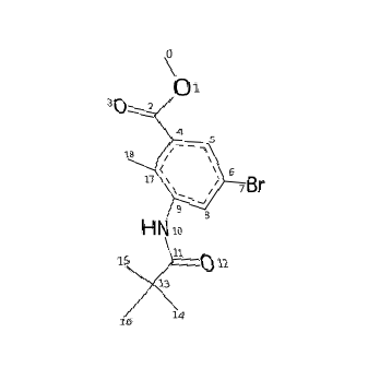 COC(=O)c1cc(Br)cc(NC(=O)C(C)(C)C)c1C